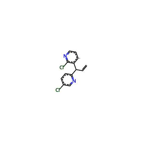 C=CC(c1ccc(Cl)cn1)c1[c]ccnc1Cl